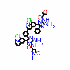 Nc1nc(-c2ccccc2)c(-c2cc(Cl)c3ncc(-c4cccc(-c5nc(N)c(NC(=O)C6CNC(=O)C6)nc5-c5cc(Cl)c6ncccc6c5)c4)cc3c2)nc1NC(=O)C1COC1